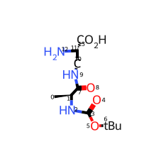 C[C@H](NC(=O)OC(C)(C)C)C(=O)NC[C@H](N)C(=O)O